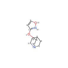 c1cc(OC2CN3CCC2CC3)no1